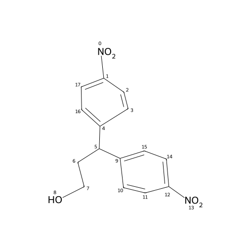 O=[N+]([O-])c1ccc(C(CCO)c2ccc([N+](=O)[O-])cc2)cc1